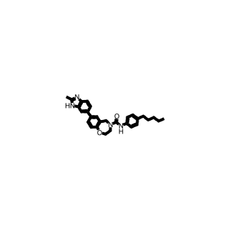 CCCCCc1ccc(NC(=O)N2CCOc3ccc(-c4ccc5nc(C)[nH]c5c4)cc3C2)cc1